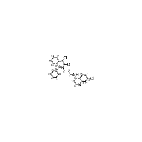 O=C(CCl)N(CCCNc1ccnc2cc(Cl)ccc12)C(c1ccccc1)c1ccccc1